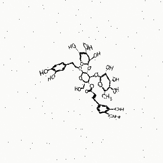 C[C@@H]1O[C@@H](O[C@@H]2[C@@H](O[C@@H]3OC[C@H](O)[C@H](O)[C@H]3O)[C@H](OCCc3ccc(O)c(O)c3)O[C@H](CO)[C@H]2OC(=O)/C=C/c2ccc(O)c(O)c2)[C@H](O)[C@H](O)[C@H]1O